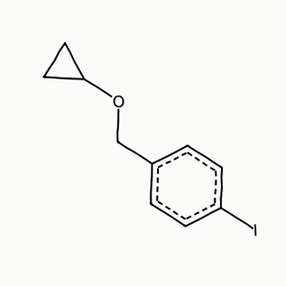 Ic1ccc(COC2CC2)cc1